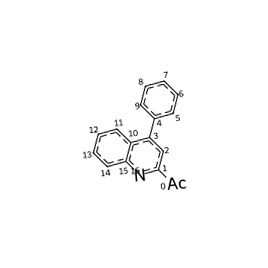 CC(=O)c1cc(-c2ccccc2)c2ccccc2n1